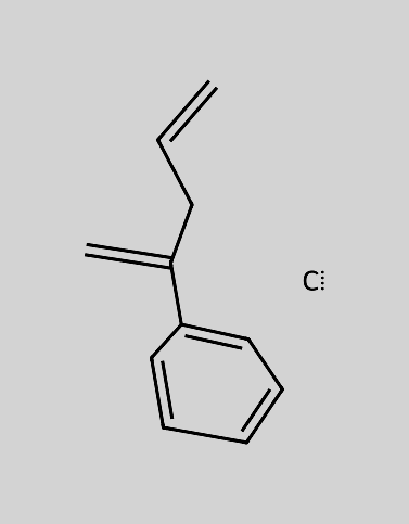 C=CCC(=C)c1ccccc1.[C]